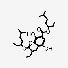 CCC(CCC(C)C)OC(=O)c1cc(O)c(CC(CC)C(=O)OC(CC)CCC(C)C)cc1O